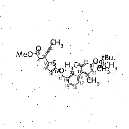 CC#CC(CC(=O)OC)c1ccc(OCc2cccc(-c3c(C)cc(O[Si](C)(C)C(C)(C)C)cc3C)c2)s1